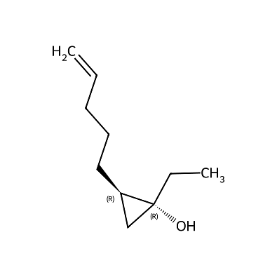 C=CCCC[C@@H]1C[C@]1(O)CC